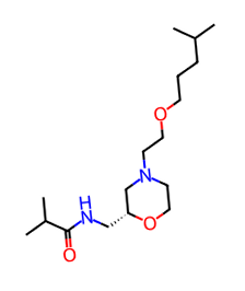 CC(C)CCCOCCN1CCO[C@H](CNC(=O)C(C)C)C1